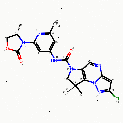 C[C@H]1COC(=O)N1c1cc(NC(=O)N2C[C@@](C)(C(F)(F)F)c3c2cnc2cc(Cl)nn32)cc(C(F)(F)F)n1